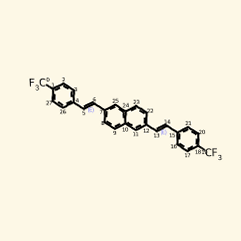 FC(F)(F)c1ccc(/C=C/c2ccc3cc(/C=C/c4ccc(C(F)(F)F)cc4)ccc3c2)cc1